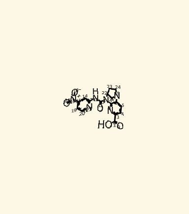 O=C(O)c1ccc2c(n1)N(C(=O)Nc1cc([N+](=O)[O-])ccn1)C1CCN2C1